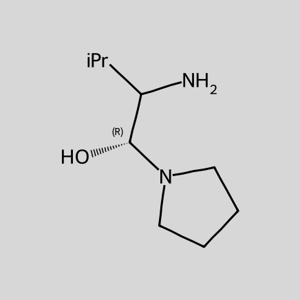 CC(C)C(N)[C@@H](O)N1CCCC1